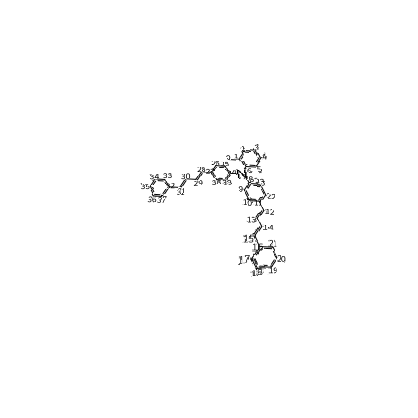 Cc1ccccc1N(c1ccc(/C=C/C=C/c2ccccc2)cc1)c1ccc(/C=C/C=C/c2ccccc2)cc1